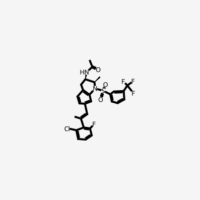 CC(=O)N[C@@H]1Cc2ccc(C=C(C)c3c(F)cccc3Cl)cc2N(S(=O)(=O)c2cccc(C(F)(F)F)c2)[C@@H]1C